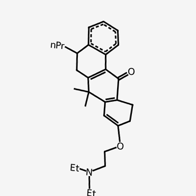 CCCC1CC2=C(C(=O)C3=C(C=C(OCCN(CC)CC)CC3)C2(C)C)c2ccccc21